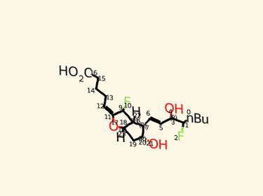 CCCCC(F)[C@H](O)C=C[C@@H]1[C@H]2C(F)C(=CCCCC(=O)O)O[C@H]2C[C@H]1O